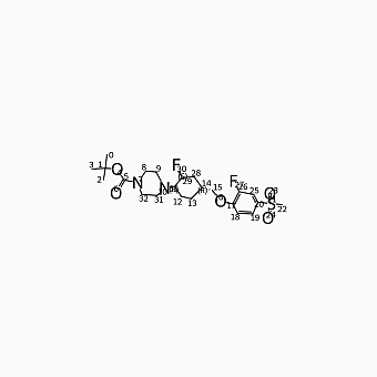 CC(C)(C)OC(=O)N1CCN([C@@H]2CC[C@@H](COc3ccc(S(C)(=O)=O)cc3F)C[C@@H]2F)CC1